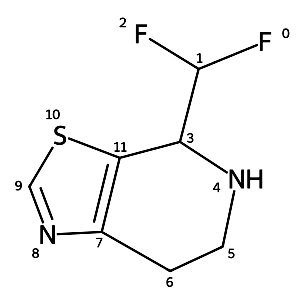 FC(F)C1NCCc2ncsc21